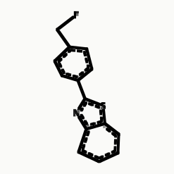 FCc1ccc(-c2nc3ccccc3s2)cc1